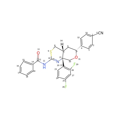 N#Cc1ccc([C@H]2C[C@H]3CSC(NC(=O)c4ccccc4)=N[C@@]3(c3ccc(F)cc3F)CO2)cc1